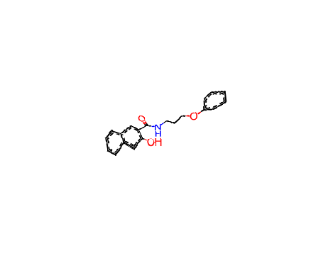 O=C(NCCCOc1ccccc1)c1cc2ccccc2cc1O